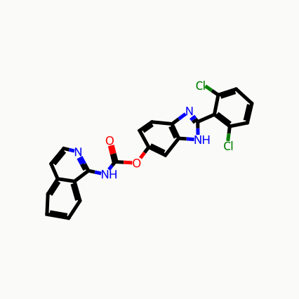 O=C(Nc1nccc2ccccc12)Oc1ccc2nc(-c3c(Cl)cccc3Cl)[nH]c2c1